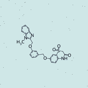 Cn1c(COc2cccc(COc3ccc4c(c3)S(=O)(=O)CC(=O)N4)c2)nc2ccccc21